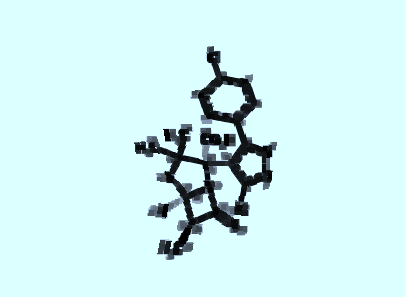 CCc1onc(-c2ccc(Cl)cc2)c1[C@@]1(C(=O)O)N2C(=S)[C@@H](C)[C@H]2SC1(C)C